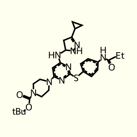 CCC(=O)Nc1ccc(Sc2nc(NC3CC(C4CC4)=NN3)cc(N3CCN(C(=O)OC(C)(C)C)CC3)n2)cc1